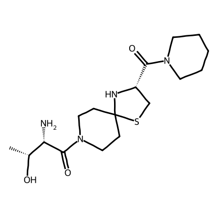 C[C@@H](O)[C@H](N)C(=O)N1CCC2(CC1)N[C@H](C(=O)N1CCCCC1)CS2